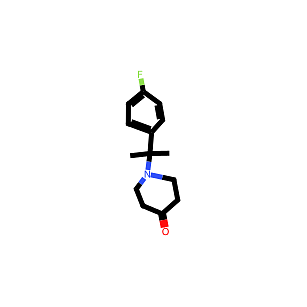 CC(C)(c1ccc(F)cc1)N1CCC(=O)CC1